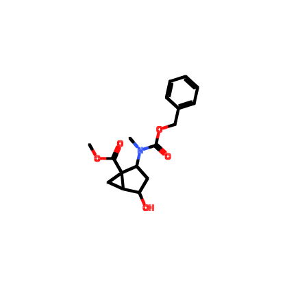 COC(=O)C12CC1C(O)CC2N(C)C(=O)OCc1ccccc1